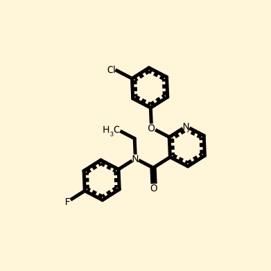 CCN(C(=O)c1cccnc1Oc1cccc(Cl)c1)c1ccc(F)cc1